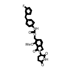 COc1c(COC(=O)Nc2ccc(Cc3cccc(F)c3)cc2)ccc2c1C(=O)N(C1CCC(=O)NC1=O)C2